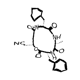 C[C@H]1NC(=O)[C@@H](CC2=CCCC=C2)NC(=O)C[C@@H](CC#N)OC(=O)[C@@H](Cc2ccccc2)NC1=O